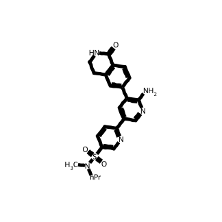 CCCN(C)S(=O)(=O)c1ccc(-c2cnc(N)c(-c3ccc4c(c3)CCNC4=O)c2)nc1